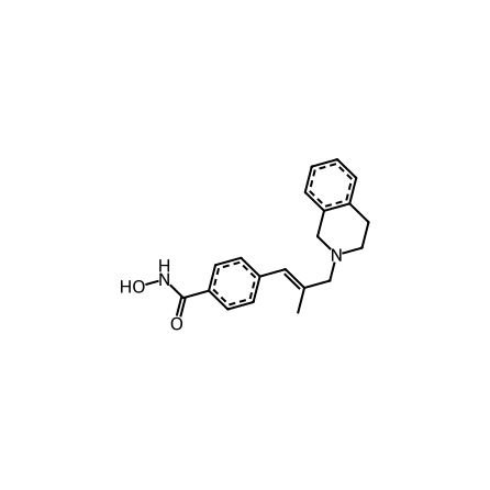 CC(=Cc1ccc(C(=O)NO)cc1)CN1CCc2ccccc2C1